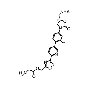 CC(=O)NC[C@H]1CN(c2ccc(-c3ccc(-c4noc(COC(=O)CN)n4)nc3)c(F)c2)C(=O)O1